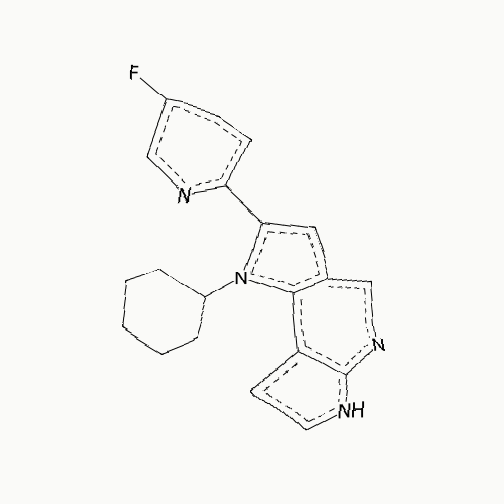 Fc1ccc(-c2cc3cnc4[nH]ccc4c3n2C2CCCCC2)nc1